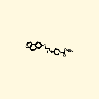 CC(C)(C)OC(=O)N1CCC(NCCOc2ccc3c(ccc4occc43)c2)CC1